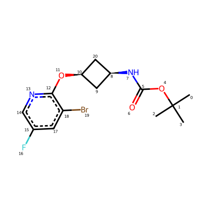 CC(C)(C)OC(=O)N[C@H]1C[C@@H](Oc2ncc(F)cc2Br)C1